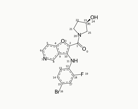 O=C(c1oc2ccncc2c1Nc1ccc(Br)cc1F)N1CC[C@@H](O)C1